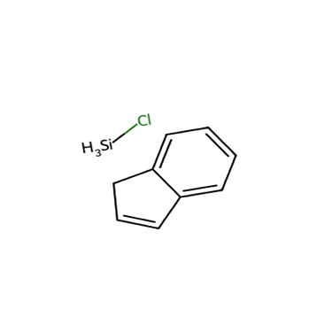 C1=Cc2ccccc2C1.[SiH3]Cl